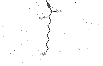 CC#CC(O)C(N)COCCCCCN